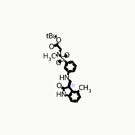 Cc1cccc2c1/C(=C/Nc1cccc(S(=O)(=O)N(C)CC(=O)OC(C)(C)C)c1)C(=O)N2